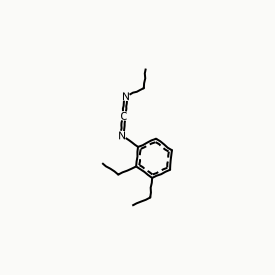 CCN=C=Nc1cccc(CC)c1CC